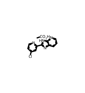 CC(=O)O.Clc1ccnc(-c2nc3cccnc3[nH]2)c1